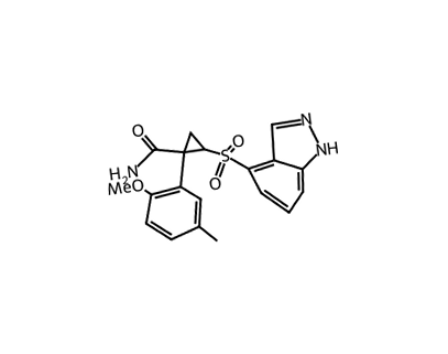 COc1ccc(C)cc1C1(C(N)=O)CC1S(=O)(=O)c1cccc2[nH]ncc12